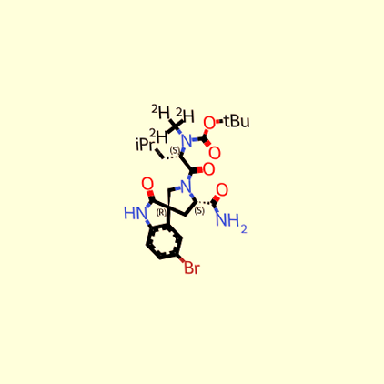 [2H]C([2H])([2H])N(C(=O)OC(C)(C)C)[C@@H](CC(C)C)C(=O)N1C[C@]2(C[C@H]1C(N)=O)C(=O)Nc1ccc(Br)cc12